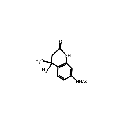 CC(=O)Nc1ccc2c(c1)NC(=O)CC2(C)C